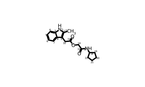 Cc1[nH]c2ccccc2c1CC(=O)OCC(=O)NC1CCCC1